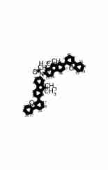 CC(=O)N(c1ccc2c(c1)C(C)(C)c1cc(-c3cccc4c3oc3ccccc34)ccc1-2)c1ccc2c(c1)C(C)(C)c1cc(-c3cccc4c3oc3ccccc34)ccc1-2